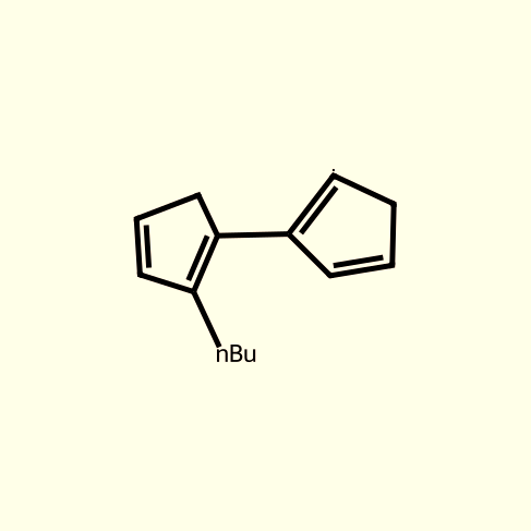 CCCCC1=C(C2=[C]CC=C2)CC=C1